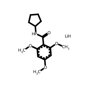 COc1cc(OC)c(C(=O)PC2CCCC2)c(OC)c1.[LiH]